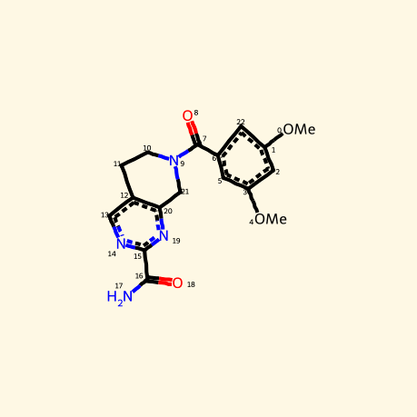 COc1cc(OC)cc(C(=O)N2CCc3[c]nc(C(N)=O)nc3C2)c1